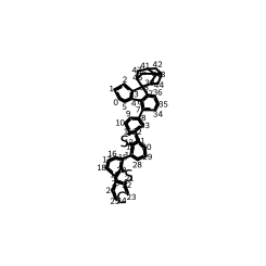 c1ccc2c(c1)-c1c(-c3ccc4sc5c(-c6cccc7c6sc6ccccc67)cccc5c4c3)cccc1C21C2CC3CC(C2)CC1C3